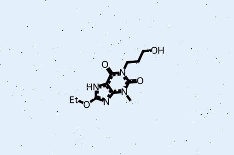 CCOc1nc2c([nH]1)c(=O)n(CCCO)c(=O)n2C